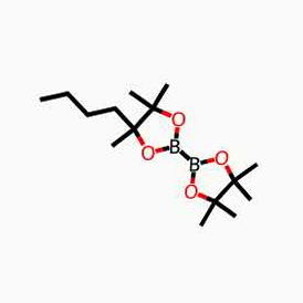 CCCCC1(C)OB(B2OC(C)(C)C(C)(C)O2)OC1(C)C